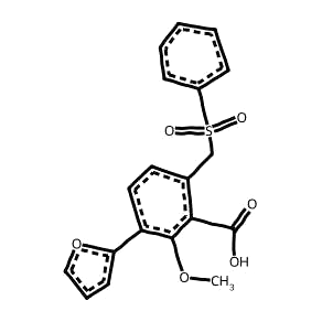 COc1c(-c2ccco2)ccc(CS(=O)(=O)c2ccccc2)c1C(=O)O